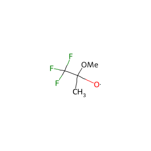 COC(C)([O])C(F)(F)F